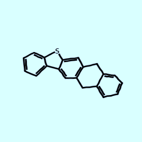 c1ccc2c(c1)Cc1cc3sc4ccccc4c3cc1C2